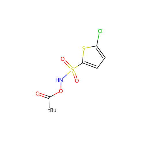 CC(C)(C)C(=O)ONS(=O)(=O)c1ccc(Cl)s1